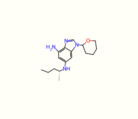 CCC[C@@H](C)Nc1cc(N)c2ncn(C3CCCCO3)c2c1